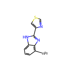 CCCc1cccc2[nH]c(-c3cscn3)nc12